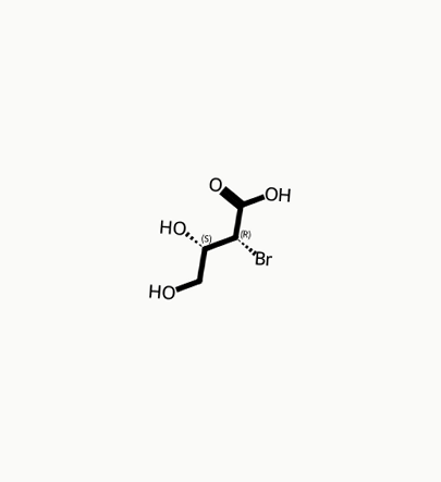 O=C(O)[C@H](Br)[C@@H](O)CO